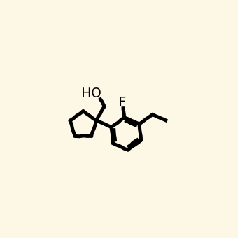 CCc1cccc(C2(CO)CCCC2)c1F